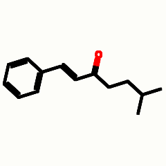 CC(C)CCC(=O)/C=C/c1ccccc1